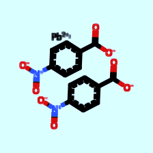 O=C([O-])c1ccc([N+](=O)[O-])cc1.O=C([O-])c1ccc([N+](=O)[O-])cc1.[Pb+2]